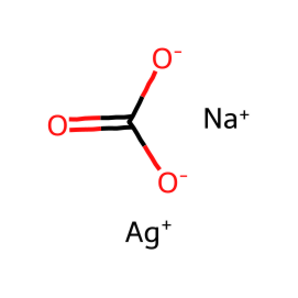 O=C([O-])[O-].[Ag+].[Na+]